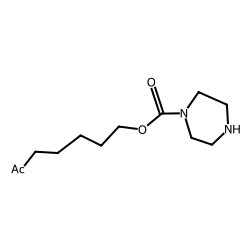 CC(=O)CCCCCOC(=O)N1CCNCC1